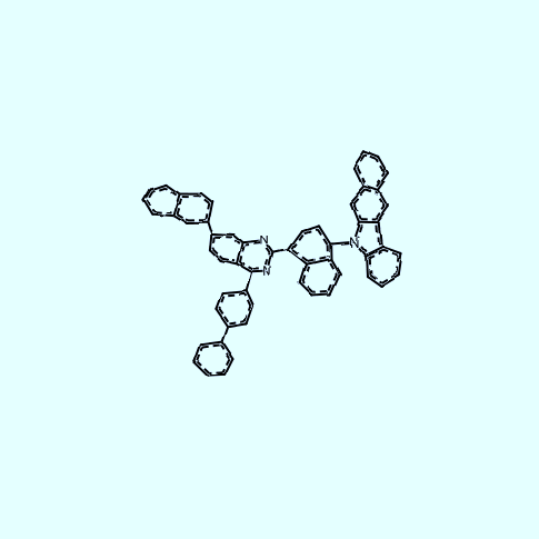 c1ccc(-c2ccc(-c3nc(-c4ccc(-n5c6ccccc6c6cc7ccccc7cc65)c5ccccc45)nc4cc(-c5ccc6ccccc6c5)ccc34)cc2)cc1